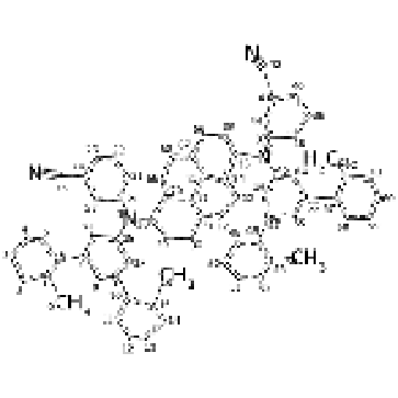 Cc1ccccc1-c1cc(-c2ccccc2C)cc(N(c2cccc(C#N)c2)c2ccc3ccc4c(N(c5cccc(C#N)c5)c5cc(-c6ccccc6C)cc(-c6ccccc6C)c5)ccc5ccc2c3c54)c1